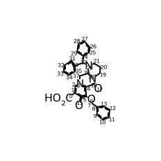 O=C(O)c1cn2c(c(OCc3ccccc3)c1=O)C(=O)N1CCCN(C(c3ccccc3)c3ccccc3)C1C2